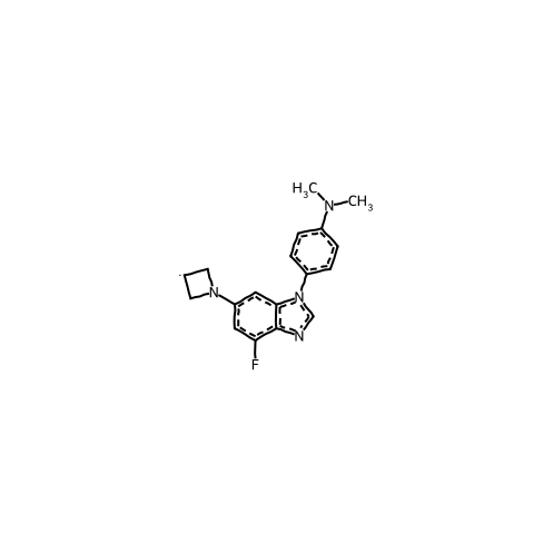 CN(C)c1ccc(-n2cnc3c(F)cc(N4C[CH]C4)cc32)cc1